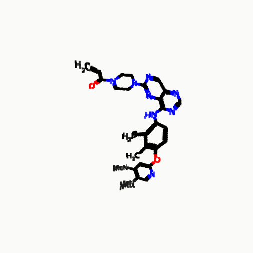 Bc1c(Nc2ncnc3cnc(N4CCN(C(=O)C=C)CC4)nc23)ccc(Oc2cc(NC)c(NC)cn2)c1C